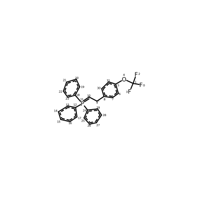 FC(F)(F)Oc1ccc([CH]C=P(c2ccccc2)(c2ccccc2)c2ccccc2)cc1